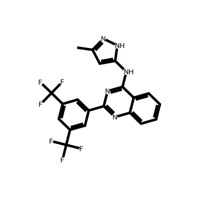 Cc1cc(Nc2nc(-c3cc(C(F)(F)F)cc(C(F)(F)F)c3)nc3ccccc23)[nH]n1